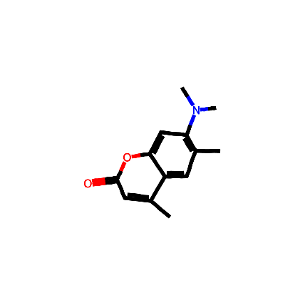 Cc1cc2c(C)cc(=O)oc2cc1N(C)C